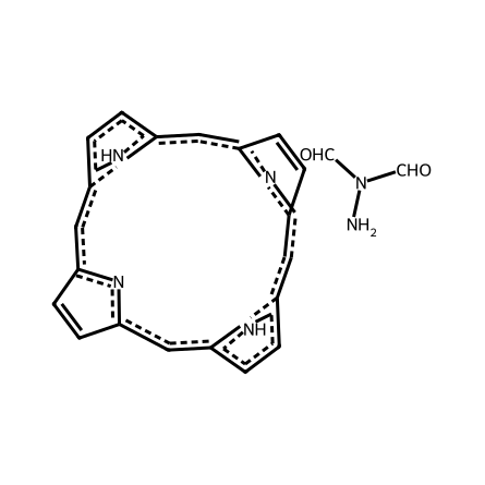 C1=Cc2cc3ccc(cc4nc(cc5ccc(cc1n2)[nH]5)C=C4)[nH]3.NN(C=O)C=O